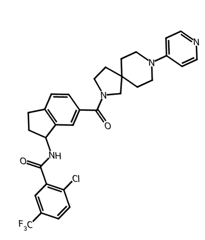 O=C(NC1CCc2ccc(C(=O)N3CCC4(CCN(c5ccncc5)CC4)C3)cc21)c1cc(C(F)(F)F)ccc1Cl